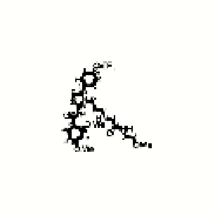 COCCNC(=O)CNCCCn1c(-c2ccc(OC(F)(F)F)cc2)cs/c1=N\C(=O)c1ccc(OC)cc1OC